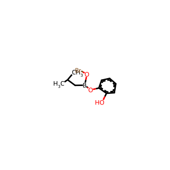 CC(C)CB(OBr)Oc1ccccc1O